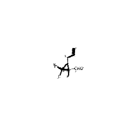 C=CC[C@@H]1C(F)(F)[C@@]1(C)C=O